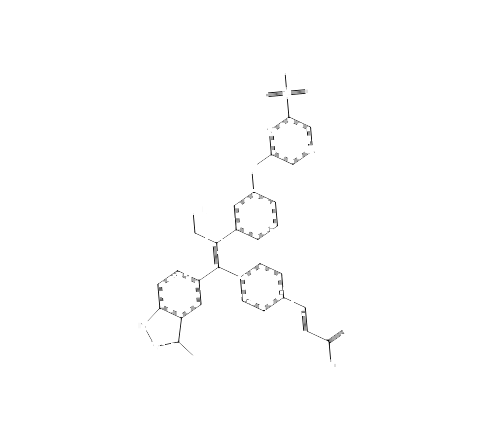 CC/C(=C(/c1ccc(/C=C/C(=O)O)cc1)c1ccc2c(c1)C(F)NN2)c1cccc(Oc2cncc(S(C)(=O)=O)n2)c1